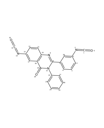 O=C=Nc1cccc(-c2nc3ccc(N=C=O)cc3c(=O)n2-c2ccccc2)c1